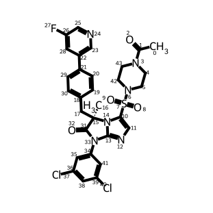 CC(=O)N1CCN(S(=O)(=O)c2cnc3n2[C@](C)(Cc2ccc(-c4cncc(F)c4)cc2)C(=O)N3c2cc(Cl)cc(Cl)c2)CC1